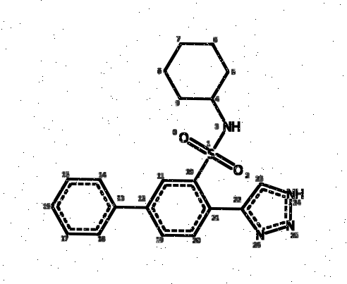 O=S(=O)(NC1CCCCC1)c1cc(-c2ccccc2)ccc1-c1c[nH]nn1